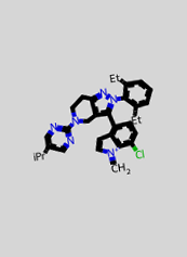 C=[N+]1C=Cc2c(-c3c4c(nn3-c3c(CC)cccc3CC)CCN(c3ncc(C(C)C)cn3)C4)ccc(Cl)c21